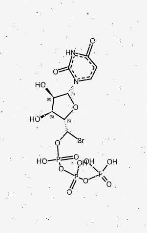 O=c1ccn([C@@H]2O[C@H](C(Br)OP(=O)(O)OP(=O)(O)OP(=O)(O)O)[C@@H](O)[C@H]2O)c(=O)[nH]1